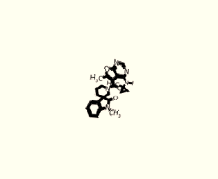 Cc1oc2ncnc(N(I)C3(C)CC3)c2c1C(=O)N1CCCC2(C1)C(=O)N(C)c1ccccc12